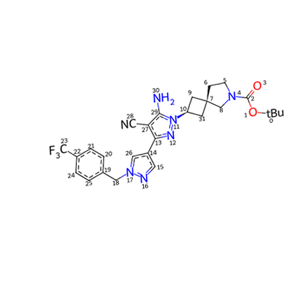 CC(C)(C)OC(=O)N1CC[C@]2(C1)C[C@H](n1nc(-c3cnn(Cc4ccc(C(F)(F)F)cc4)c3)c(C#N)c1N)C2